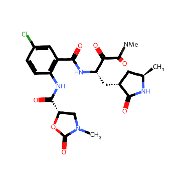 CNC(=O)C(=O)[C@H](C[C@@H]1C[C@@H](C)NC1=O)NC(=O)c1cc(Cl)ccc1NC(=O)[C@@H]1CN(C)C(=O)O1